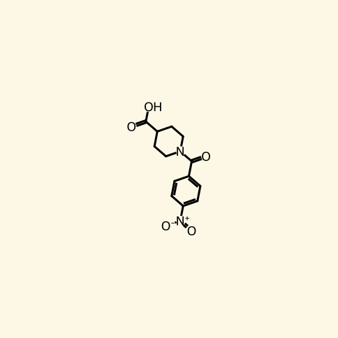 O=C(O)C1CCN(C(=O)c2ccc([N+](=O)[O-])cc2)CC1